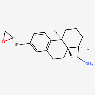 C1CO1.CC(C)c1ccc2c(c1)CC[C@H]1[C@](C)(CN)CCC[C@]21C